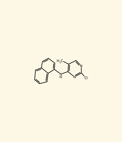 Cc1cnc(Cl)nc1Nc1cccc2ccccc12